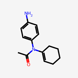 CC(=O)N(C1=CCCCC1)c1ccc(N)cc1